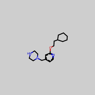 c1cc(CN2CCNCC2)cc(OCCC2CCCCC2)n1